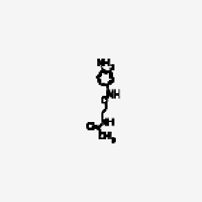 CC(=O)NCCONc1ccc(N)cc1